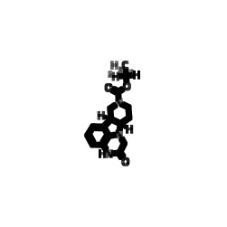 [2H]C([2H])(C)OC(=O)N1CC[C@H]2[C@@H](C1)c1cccc3c1N2CC(=O)N3